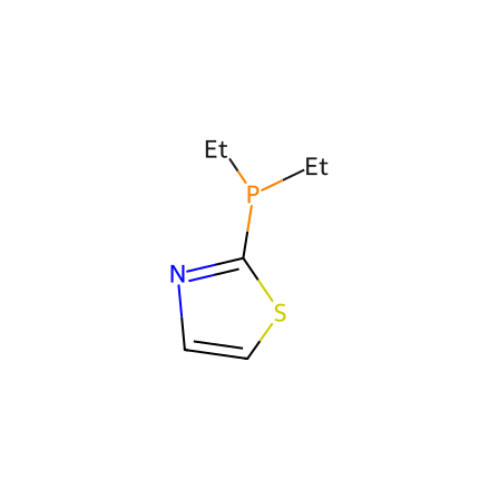 CCP(CC)c1nccs1